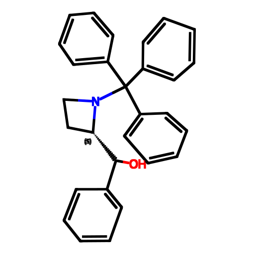 OC(c1ccccc1)[C@@H]1CCN1C(c1ccccc1)(c1ccccc1)c1ccccc1